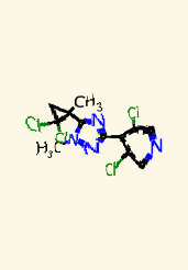 Cn1nc(-c2c(Cl)cncc2Cl)nc1C1(C)CC1(Cl)Cl